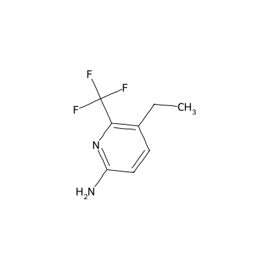 CCc1ccc(N)nc1C(F)(F)F